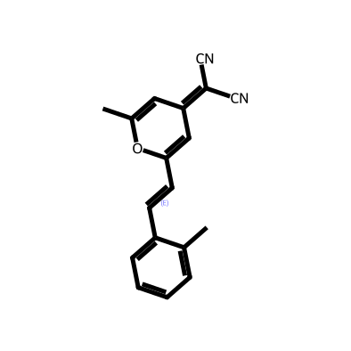 CC1=CC(=C(C#N)C#N)C=C(/C=C/c2ccccc2C)O1